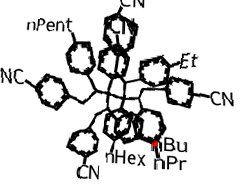 CCCCCCc1ccc(C(C(Cc2ccc(C#N)cc2)c2ccc(CC)cc2)(C(Cc2ccc(C#N)cc2)c2ccc(CCC)cc2)C(c2ccc(C#N)cc2)(C(Cc2ccc(C#N)cc2)c2ccc(CCCC)cc2)C(Cc2ccc(C#N)cc2)c2ccc(CCCCC)cc2)cc1